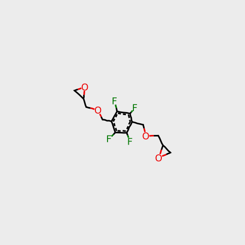 Fc1c(F)c(COCC2CO2)c(F)c(F)c1COCC1CO1